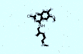 C=C(/C=C\C=N/C)CNc1nc(Cl)nc2cc(I)c(OC)cc12